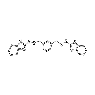 c1cc(CSSc2nc3ccccc3s2)cc(CSSc2nc3ccccc3s2)c1